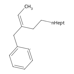 C/C=C(\CCCCCCCCC)Cc1[c]cccc1